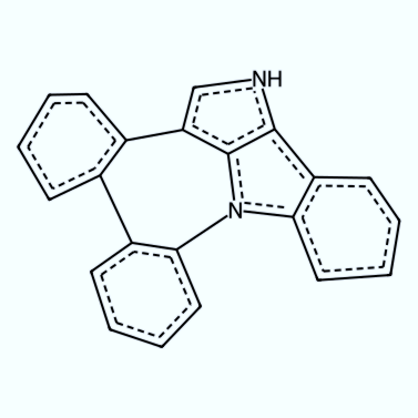 c1ccc2c(c1)-c1ccccc1-n1c3ccccc3c3[nH]cc-2c31